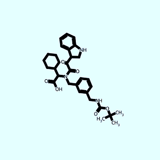 CC(C)(C)OC(=O)NCc1cccc(CN(C(=O)C(=O)C2CNc3ccccc32)C(C(=O)O)C2CCCCC2)c1